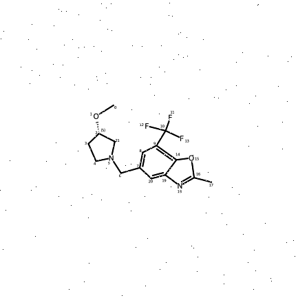 CO[C@H]1CCN(Cc2cc(C(F)(F)F)c3oc(C)nc3c2)C1